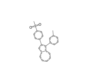 Cc1cccc(-c2c3cccccc-3cc2-c2ccc(S(C)(=O)=O)cc2)c1